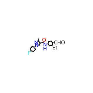 CCc1cc(NC(=O)c2cn(-c3ccc(F)cc3)nc2C)ccc1C=O